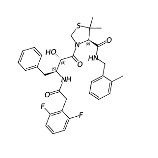 Cc1ccccc1CNC(=O)[C@H]1N(C(=O)[C@@H](O)[C@H](Cc2ccccc2)NC(=O)Cc2c(F)cccc2F)CSC1(C)C